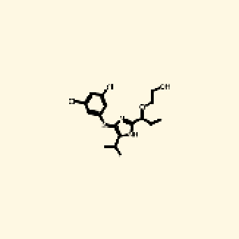 CCC(OCCO)c1nc(Sc2cc(Cl)cc(Cl)c2)c(C(C)C)[nH]1